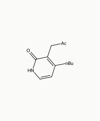 CCCCc1cc[nH]c(=O)c1CC(C)=O